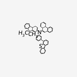 CC1(C)C2=CC(N(C3=Cc4ccccc4C4C=CC=CC34)c3cccc(-c4cccc5c4sc4ccccc45)c3)=CCC2c2ccccc21